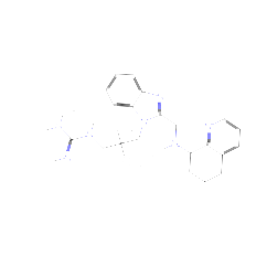 CN(Cc1nc2ccccc2n1CC(C)(C)CN(C(=NC(=O)O)N(C(=O)O)C(C)(C)C)C(C)(C)C)C1CCCc2cccnc21